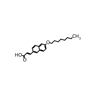 CCCCCCCCOc1ccc2cc(C=CC(=O)O)ccc2c1